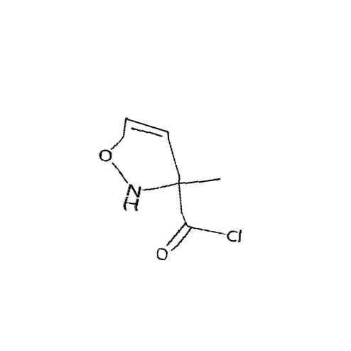 CC1(C(=O)Cl)C=CON1